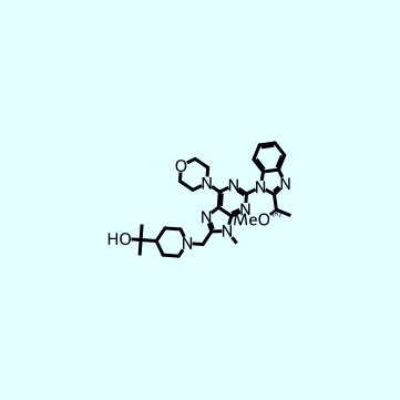 CO[C@H](C)c1nc2ccccc2n1-c1nc(N2CCOCC2)c2nc(CN3CCC(C(C)(C)O)CC3)n(C)c2n1